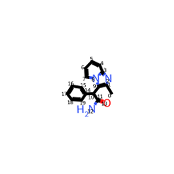 Cc1nc2ccccn2c1C(C(N)=O)c1ccccc1